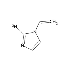 [2H]c1nccn1C=C